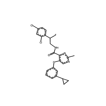 Cc1ncc(Oc2cccc(C3CC3)c2)c(C(=O)NCC(F)c2ccc(Cl)cc2Cl)n1